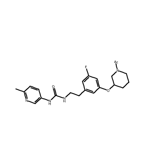 CC(=O)N1CCCC(Oc2cc(F)cc(CCNC(=O)Nc3ccc(C)nc3)c2)C1